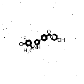 C[C@@H](NC1CC[C@@H](c2ccc(C(=O)N3CCC(O)CC3)cc2)C1)c1ccc(F)c(Cl)c1